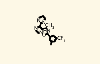 C[C@@H](NC(=O)c1cc(F)cc(C(F)(F)F)c1)c1nccnc1-c1ncccn1